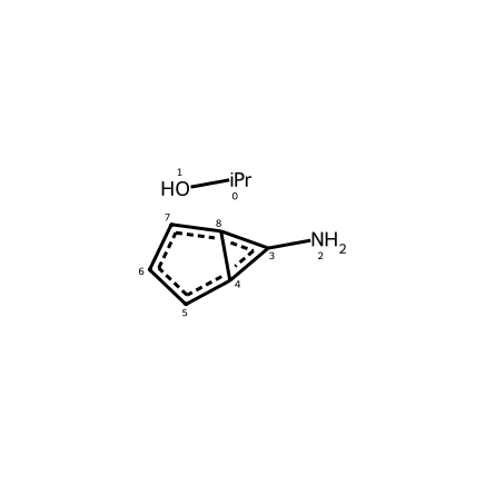 CC(C)O.Nc1c2cccc1-2